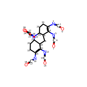 O=C=NC1=C(N=C=O)C(CC2C(N=C=O)=C(N=C=O)CCC2N=C=O)C(N=C=O)CC1